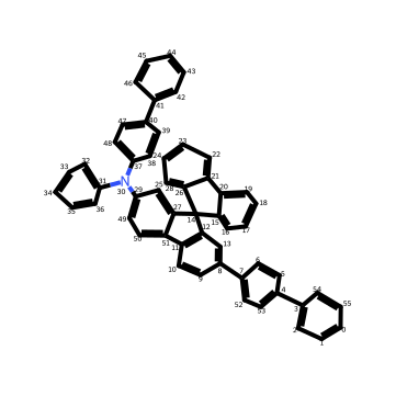 c1ccc(-c2ccc(-c3ccc4c(c3)C3(c5ccccc5-c5ccccc53)c3cc(N(c5ccccc5)c5ccc(-c6ccccc6)cc5)ccc3-4)cc2)cc1